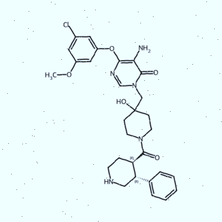 COc1cc(Cl)cc(Oc2ncn(CC3(O)CCN(C(=O)[C@@H]4CCNC[C@H]4c4ccccc4)CC3)c(=O)c2N)c1